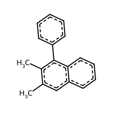 Cc1cc2ccccc2c(-c2ccccc2)c1C